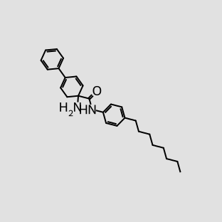 CCCCCCCCc1ccc(NC(=O)C2(N)C=CC(c3ccccc3)=CC2)cc1